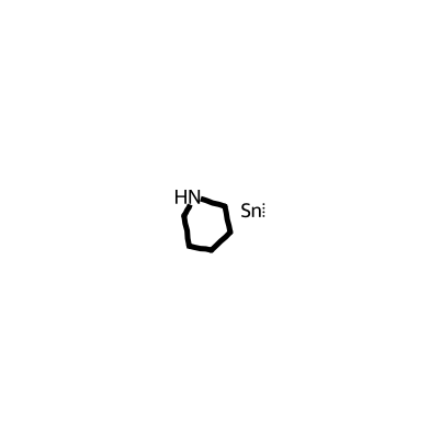 C1CCNCC1.[Sn]